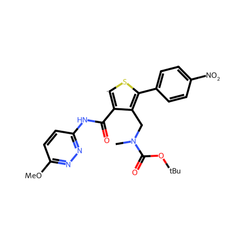 COc1ccc(NC(=O)c2[c]sc(-c3ccc([N+](=O)[O-])cc3)c2CN(C)C(=O)OC(C)(C)C)nn1